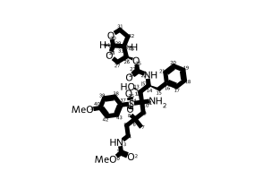 COC(=O)NCCC(C)(C)CC(N)([C@H](O)[C@H](Cc1ccccc1)NC(=O)O[C@H]1CO[C@H]2OCC[C@H]21)S(=O)(=O)c1ccc(OC)cc1